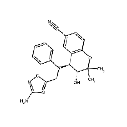 CC1(C)Oc2ccc(C#N)cc2[C@H](N(Cc2nc(N)no2)c2ccccc2)[C@H]1O